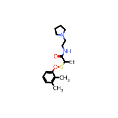 CCC(SOc1cccc(C)c1C)C(=O)NCCN1CCCC1